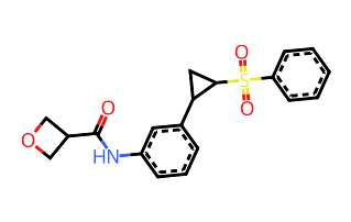 O=C(Nc1cccc(C2CC2S(=O)(=O)c2ccccc2)c1)C1COC1